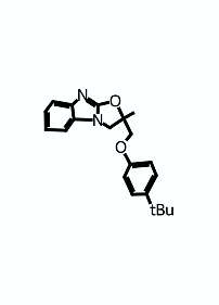 CC1(COc2ccc(C(C)(C)C)cc2)Cn2c(nc3ccccc32)O1